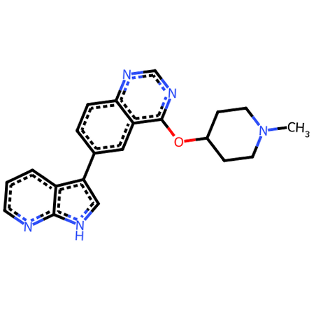 CN1CCC(Oc2ncnc3ccc(-c4c[nH]c5ncccc45)cc23)CC1